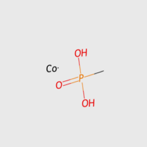 CP(=O)(O)O.[Co]